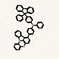 c1ccc(N(c2ccc(-c3ccc4c5c3c3ccccc3n5-c3ccccc3O4)cc2)c2ccc(C3(c4ccccc4)c4ccccc4-c4ccccc43)cc2)cc1